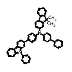 CC1(C)c2ccccc2-c2ccc(N(C3=CCC(c4ccccc4)C=C3)c3ccc(-c4ccc5c6ccccc6n(-c6ccccc6)c5c4)cc3)cc21